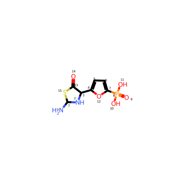 NC1NC(c2ccc(P(=O)(O)O)o2)C(=O)S1